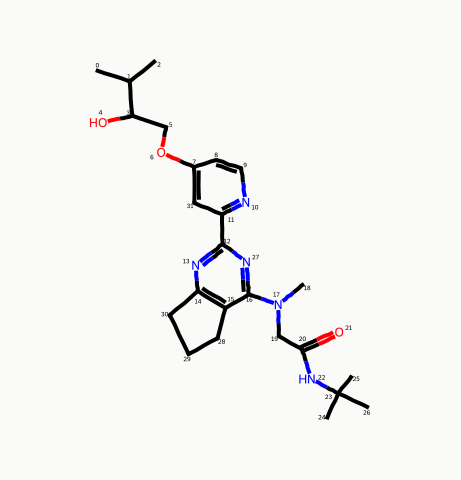 CC(C)C(O)COc1ccnc(-c2nc3c(c(N(C)CC(=O)NC(C)(C)C)n2)CCC3)c1